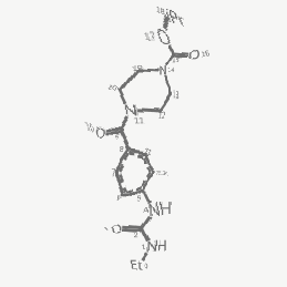 CCNC(=O)Nc1ccc(C(=O)N2CCN(C(=O)OC(C)C)CC2)cc1